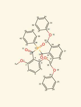 COc1cccc(OC)c1C(=O)P(=O)(C(=O)c1c(COc2ccccc2)cccc1COc1ccccc1)c1ccccc1